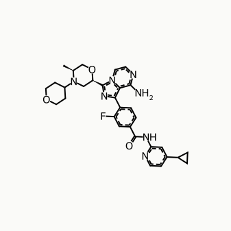 C[C@H]1CO[C@@H](c2nc(-c3ccc(C(=O)Nc4cc(C5CC5)ccn4)cc3F)c3c(N)nccn23)CN1C1CCOCC1